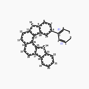 C/C=C\C(=C/C)c1ccc2sc3ccc4ccc5c6ccccc6sc5c4c3c2c1